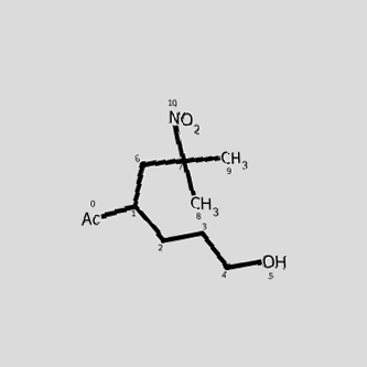 CC(=O)C(CCCO)CC(C)(C)[N+](=O)[O-]